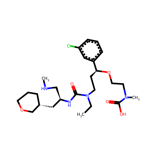 CCN(CC[C@H](OCCN(C)C(=O)O)c1cccc(Cl)c1)C(=O)N[C@H](CNC)C[C@H]1CCCOC1